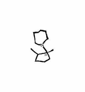 CC1CCC[C@@]1(C)N1CCCCC1